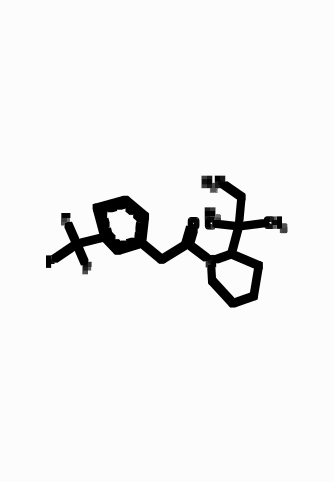 CC(C)(CN)C1CCCCN1C(=O)Cc1cccc(C(F)(F)F)c1